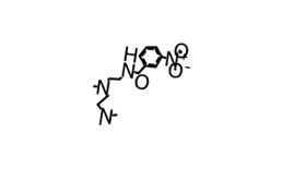 CN(C)CCN(C)CCNC(=O)c1cccc([N+](=O)[O-])c1